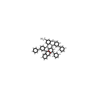 Cc1cc2c3c(c1)N(c1ccc(-c4ccccc4)cc1-c1cccc4ccccc14)c1ccc(-c4ccccc4)cc1B3c1cc(-c3ccccc3)ccc1O2